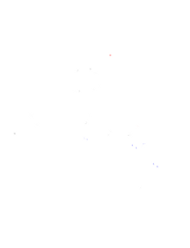 CN(C)/C=N/C(=O)c1cncc(-c2cc(O)ccc2OCc2ccccc2)c1